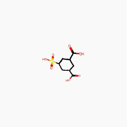 O=C(O)C1CC(C(=O)O)CC(S(=O)(=O)O)C1